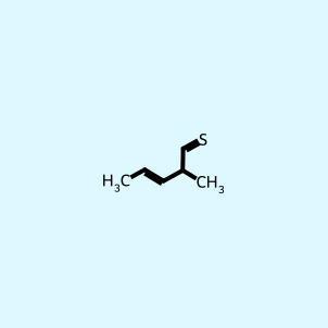 CC=CC(C)C=S